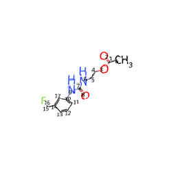 CC(=O)OCCNC(=O)Nc1cccc(CF)c1